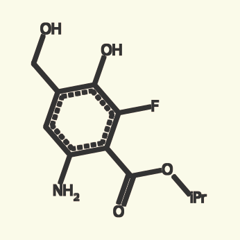 CC(C)OC(=O)c1c(N)cc(CO)c(O)c1F